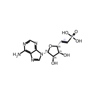 Nc1ncnc2c1ncn2[C@@H]1O[C@H](/C=C/P(=O)(O)O)[C@@H](O)[C@H]1O